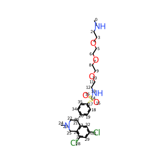 CNCCOCCOCCOCCNS(=O)(=O)c1ccc([C@H]2CN(C)Cc3c(Cl)cc(Cl)cc32)cc1